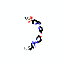 CCc1cnc(N2CCC(Oc3ccc(-n4ccc5cc(S(C)(=O)=O)cnc54)nc3)CC2)nc1